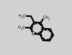 [CH2]c1c(CC)c(C)nc2ccccc12